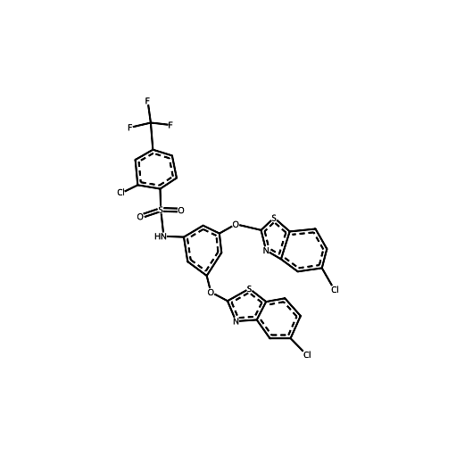 O=S(=O)(Nc1cc(Oc2nc3cc(Cl)ccc3s2)cc(Oc2nc3cc(Cl)ccc3s2)c1)c1ccc(C(F)(F)F)cc1Cl